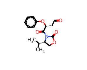 CC(C)[C@H]1COC(=O)N1C(=O)[C@@H](CC=O)Oc1ccccc1